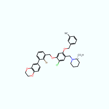 N#Cc1cccc(COc2cc(OCc3cccc(-c4ccc5c(c4)OCCO5)c3Br)c(Cl)cc2CN2CCCC[C@H]2C(=O)O)c1